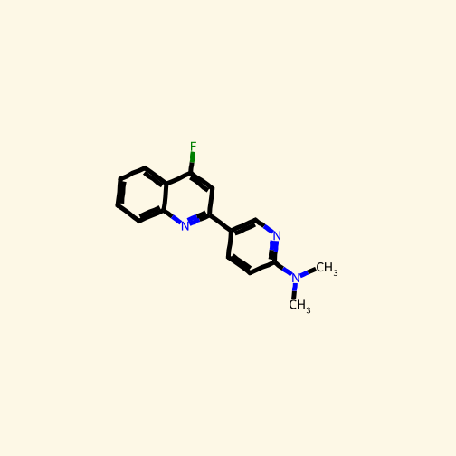 CN(C)c1ccc(-c2cc(F)c3ccccc3n2)cn1